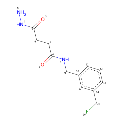 NNC(=O)CCC(=O)NCc1cccc(CF)c1